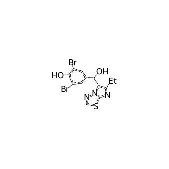 CCc1nc2scnn2c1C(O)c1cc(Br)c(O)c(Br)c1